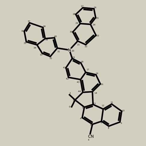 CC1(C)c2cc(C#N)c3ccccc3c2-c2ccc3cc(N(c4ccc5ccccc5c4)c4ccc5ccccc5c4)ccc3c21